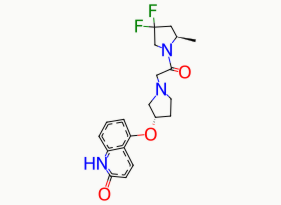 C[C@@H]1CC(F)(F)CN1C(=O)CN1CC[C@H](Oc2cccc3[nH]c(=O)ccc23)C1